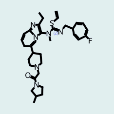 C=CS/C(=N\CC1C=CC=C(F)C=C1)N(C)c1c(CC)nc2n1C=C(C1CCN(CC(=O)N3CCC(C)C3)CC1)CC=C2